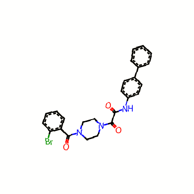 O=C(Nc1ccc(-c2ccccc2)cc1)C(=O)N1CCN(C(=O)c2ccccc2Br)CC1